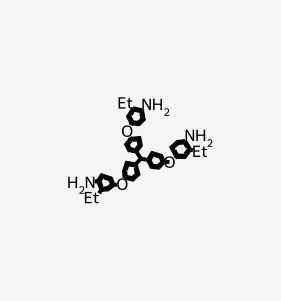 CCc1cc(Oc2ccc(C(c3ccc(Oc4ccc(N)c(CC)c4)cc3)c3ccc(Oc4ccc(N)c(CC)c4)cc3)cc2)ccc1N